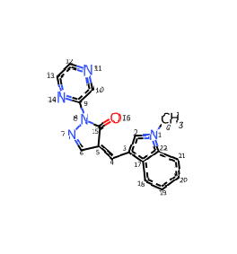 Cn1cc(C=C2C=NN(c3cnccn3)C2=O)c2ccccc21